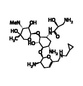 CN[C@@H]1[C@@H](O)[C@@H](O[C@@H]2[C@@H](O)[C@H](O[C@H]3OC(CNCC4CC4)=CC[C@H]3N)[C@@H](N)C[C@H]2NC(=O)[C@@H](O)CN)OC[C@]1(C)O